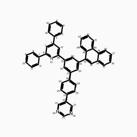 c1ccc(-c2cc(-c3ccccc3)nc(-c3cc(-c4ccc(-c5cncnc5)cc4)cc(-c4cc5ccccc5c5ccccc45)c3)c2)cc1